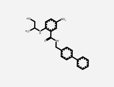 CC(CO)Nc1ccc([N+](=O)[O-])cc1C(=O)NCc1ccc(-c2ccccc2)cc1